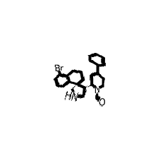 O=CN1CCC(c2ccccc2)CC1[C@@H]1CNC[C@]12CCCc1c(Br)cccc12